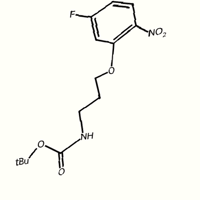 CC(C)(C)OC(=O)NCCCOc1cc(F)ccc1[N+](=O)[O-]